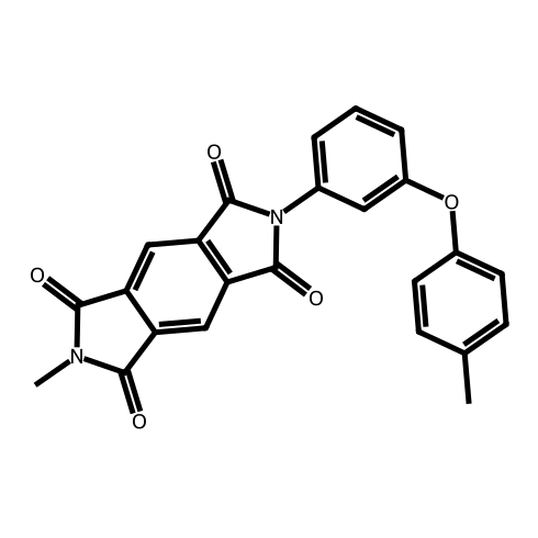 Cc1ccc(Oc2cccc(-n3c(=O)c4cc5c(=O)n(C)c(=O)c5cc4c3=O)c2)cc1